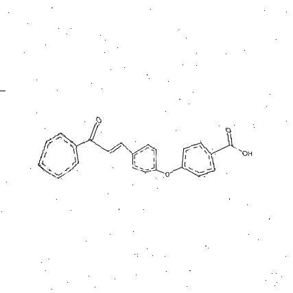 O=C(O)c1ccc(Oc2ccc(/C=C/C(=O)c3ccccc3)cc2)cc1